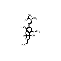 CCCCC(O)(c1cc(C)c(N=CN(C)C(C)C)cc1OC)C(F)(F)F